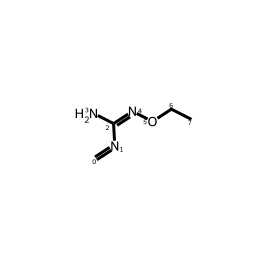 C=N/C(N)=N\OCC